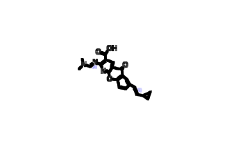 CN(C)/C=N/c1nc2oc3ccc(/C=C/C4CC4)cc3c(=O)c2cc1C(=O)O